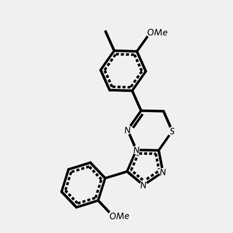 COc1cc(C2=Nn3c(nnc3-c3ccccc3OC)SC2)ccc1C